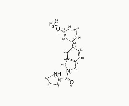 O=C([C@@H]1CCCN1)N1Cc2ccc(-c3cccc(OC(F)(F)F)c3)cc2C1